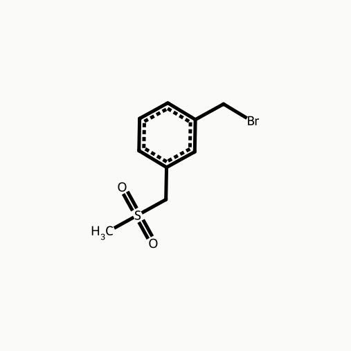 CS(=O)(=O)Cc1cccc(CBr)c1